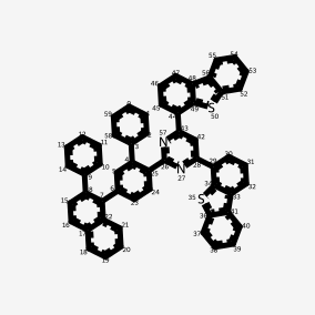 c1ccc(-c2cc(-c3c(-c4ccccc4)ccc4ccccc34)ccc2-c2nc(-c3cccc4c3sc3ccccc34)cc(-c3cccc4c3sc3ccccc34)n2)cc1